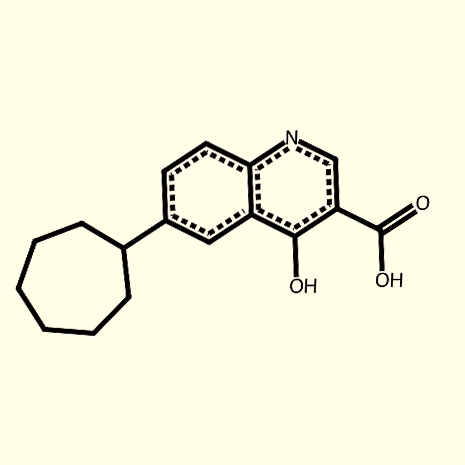 O=C(O)c1cnc2ccc(C3CCCCCC3)cc2c1O